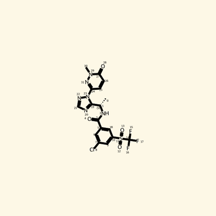 C[C@H](NC(=O)c1cc(Cl)cc(S(=O)(=O)C(F)(F)F)c1)c1ncnn1-c1ccc(=O)n(C)n1